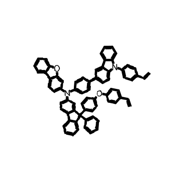 C=Cc1ccc(Oc2ccc(C3(c4ccccc4)c4ccccc4-c4ccc(N(c5ccc(-c6ccc7c(c6)c6ccccc6n7-c6ccc(C=C)cc6)cc5)c5ccc6c(c5)oc5ccccc56)cc43)cc2)cc1